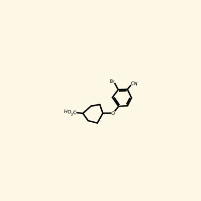 N#Cc1ccc(OC2CCC(C(=O)O)CC2)cc1Br